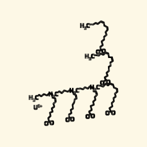 CCCCC/C=C\C/C=C\CCCCCCCC(=O)[O-].CCCCC/C=C\C/C=C\CCCCCCCC(=O)[O-].CCCCC/C=C\C/C=C\CCCCCCCC(=O)[O-].CCCCC/C=C\C/C=C\CCCCCCCC(=O)[O-].CCCCC/C=C\C/C=C\CCCCCCCC(=O)[O-].CCCCC/C=C\C/C=C\CCCCCCCC(=O)[O-].[U+6]